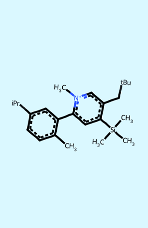 Cc1ccc(C(C)C)cc1-c1cc([Si](C)(C)C)c(CC(C)(C)C)c[n+]1C